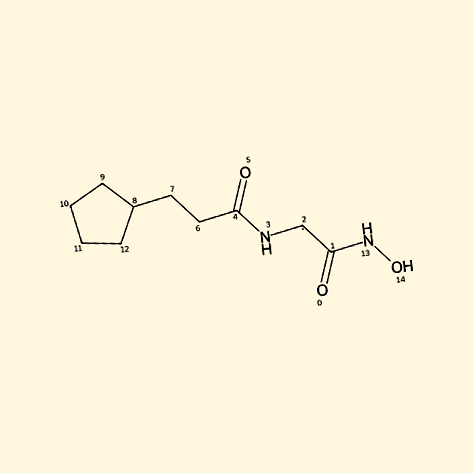 O=C([CH]NC(=O)CCC1CCCC1)NO